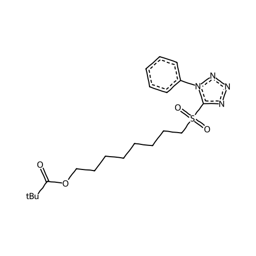 CC(C)(C)C(=O)OCCCCCCCCS(=O)(=O)c1nnnn1-c1ccccc1